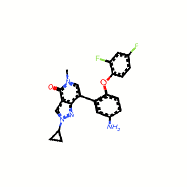 Cn1cc(-c2cc(N)ccc2Oc2ccc(F)cc2F)c2nn(C3CC3)cc2c1=O